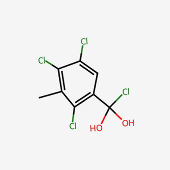 Cc1c(Cl)c(Cl)cc(C(O)(O)Cl)c1Cl